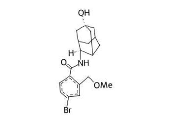 COCc1cc(Br)ccc1C(=O)N[C@H]1C2CC3CC1C[C@](O)(C3)C2